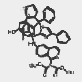 CCOc1cc(O)c(F)c(C(Nc2ccc3c(N(C(=O)OC(C)(C)C)C(=O)OC(C)(C)C)nccc3c2)c2nc(-c3ccccc3)cn2C(c2ccccc2)(c2ccccc2)c2ccccc2)c1